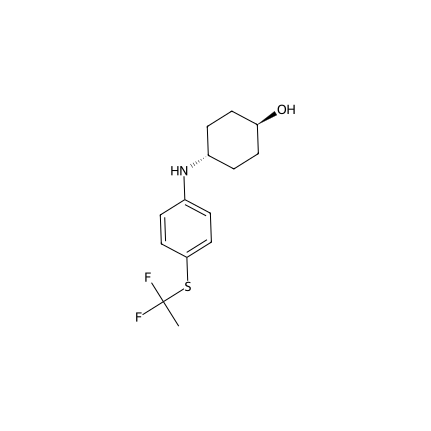 CC(F)(F)Sc1ccc(N[C@H]2CC[C@H](O)CC2)cc1